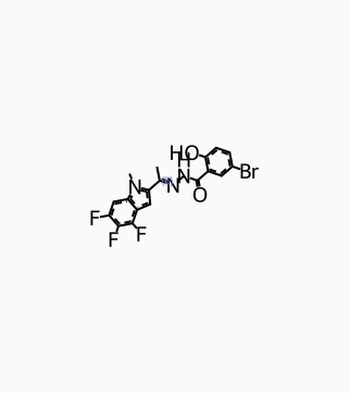 C/C(=N\NC(=O)c1cc(Br)ccc1O)c1cc2c(F)c(F)c(F)cc2n1C